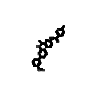 COc1cccc(-c2cncc(N[C@@H](C)c3cccc(NC(=O)c4ccc(C)nc4)c3)n2)c1